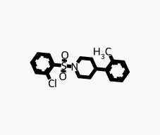 Cc1ccccc1C1CCN(S(=O)(=O)c2ccccc2Cl)CC1